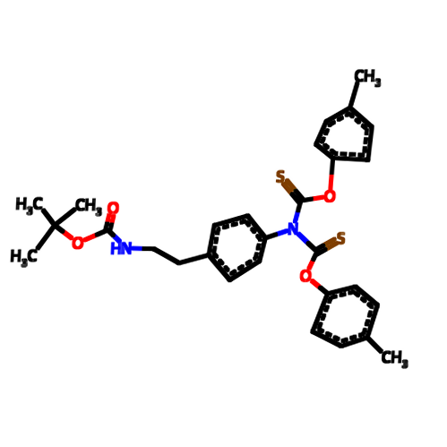 Cc1ccc(OC(=S)N(C(=S)Oc2ccc(C)cc2)c2ccc(CCNC(=O)OC(C)(C)C)cc2)cc1